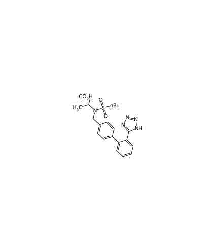 CCCCS(=O)(=O)N(Cc1ccc(-c2ccccc2-c2nnn[nH]2)cc1)C(C)C(=O)O